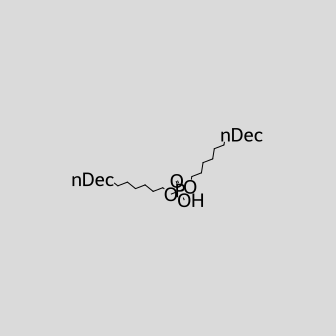 CCCCCCCCCCCCCCCCOP(=O)(O)OCCCCCCCCCCCCCCCC